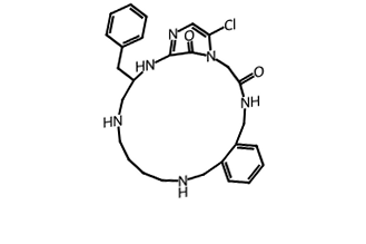 O=C1Cn2c(Cl)cnc(c2=O)NC(Cc2ccccc2)CNCCCCNCc2ccccc2CN1